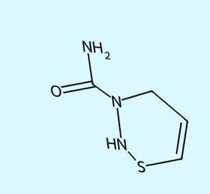 NC(=O)N1CC=CSN1